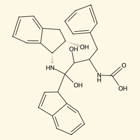 O=C(O)NC(Cc1ccccc1)C(O)C(O)(N[C@@H]1c2ccccc2C[C@@H]1O)C1C=Cc2ccccc21